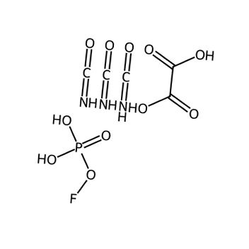 N=C=O.N=C=O.N=C=O.O=C(O)C(=O)O.O=P(O)(O)OF